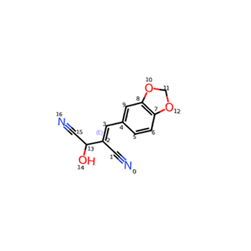 N#C/C(=C\c1ccc2c(c1)OCO2)C(O)C#N